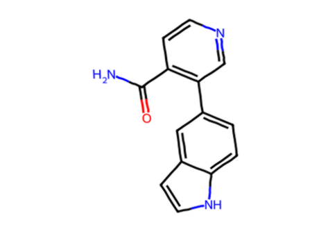 NC(=O)c1ccncc1-c1ccc2[nH]ccc2c1